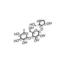 C[C@H]1O[C@@H](O[C@H]2[C@H](O)[C@@H](O)[C@@H](O[C@@H]3[C@H](CO)NC[C@@H]3O)O[C@@H]2CO)[C@H](O)[C@@H](O)[C@@H]1O